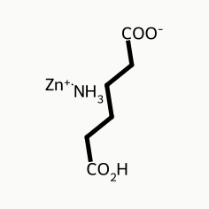 N.O=C([O-])CCCCC(=O)O.[Zn+]